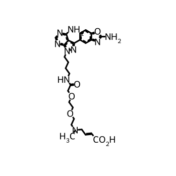 CN(C/C=C/C(=O)O)CCOCCOCC(=O)NCCCCn1nc(-c2ccc3oc(N)nc3c2)c2c(N)ncnc21